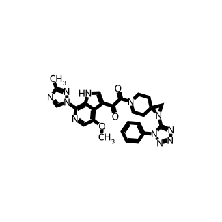 COc1cnc(-n2cnc(C)n2)c2[nH]cc(C(=O)C(=O)N3CCC4(CC3)CN4c3nnnn3-c3ccccc3)c12